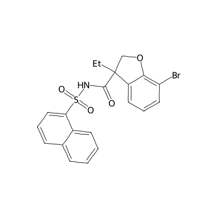 CCC1(C(=O)NS(=O)(=O)c2cccc3ccccc23)COc2c(Br)cccc21